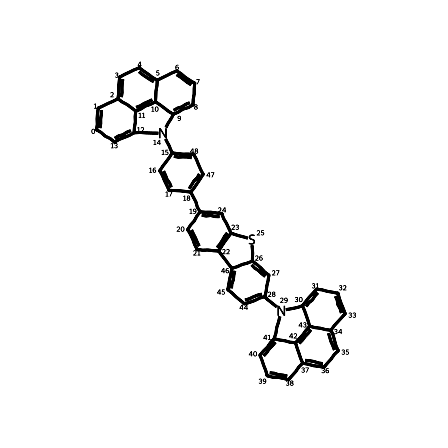 c1cc2ccc3cccc4c3c2c(c1)n4-c1ccc(-c2ccc3c(c2)sc2cc(-n4c5cccc6ccc7cccc4c7c65)ccc23)cc1